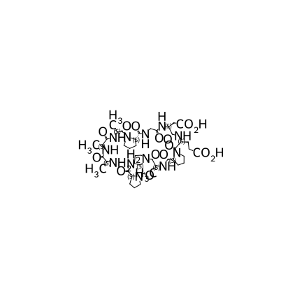 C[C@H](N)C(=O)N[C@@H](C)C(=O)N[C@@H](C)C(=O)N1CCC[C@H]1C(=O)NCC(=O)N[C@@H](CC(=O)O)C(=O)N[C@@H](CCC(=O)O)C(=O)N1CCC[C@H]1C(=O)N[C@@H](C)C(=O)N1CCC[C@H]1C(=O)N1CCC[C@H]1C(N)=O